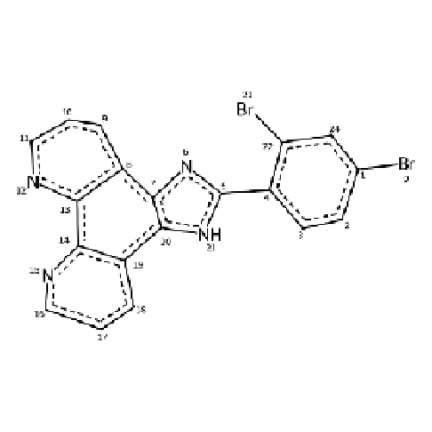 Brc1ccc(-c2nc3c4cccnc4c4ncccc4c3[nH]2)c(Br)c1